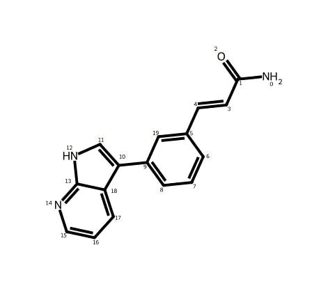 NC(=O)C=Cc1cccc(-c2c[nH]c3ncccc23)c1